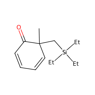 CC[Si](CC)(CC)CC1(C)C=CC=CC1=O